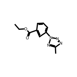 CCOC(=O)c1cccc(-n2nnc(C)n2)c1